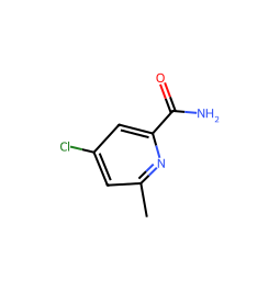 Cc1cc(Cl)cc(C(N)=O)n1